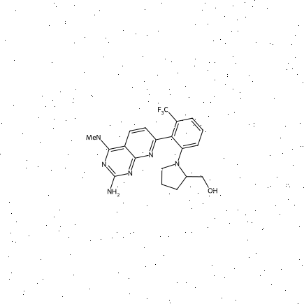 CNc1nc(N)nc2nc(-c3c(N4CCCC4CO)cccc3C(F)(F)F)ccc12